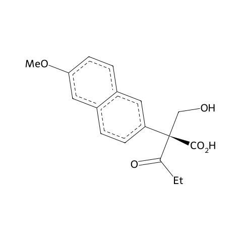 CCC(=O)[C@](CO)(C(=O)O)c1ccc2cc(OC)ccc2c1